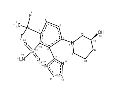 CC(F)(F)c1ccc(N2CCC[C@H](O)C2)c(-c2nnn[nH]2)c1S(N)(=O)=O